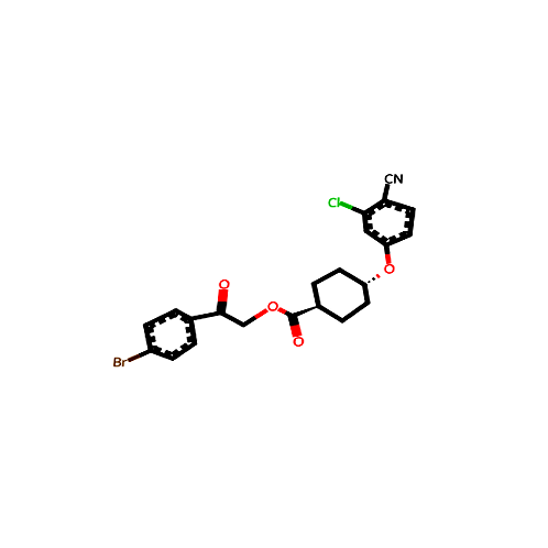 N#Cc1ccc(O[C@H]2CC[C@H](C(=O)OCC(=O)c3ccc(Br)cc3)CC2)cc1Cl